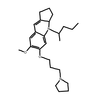 CCCC(C)N1c2cc(OCCCN3CCCC3)c(OC)cc2C=C2CCCC21